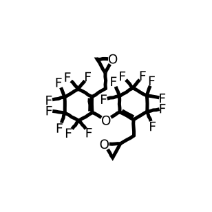 FC1(F)C(CC2CO2)=C(OC2=C(CC3CO3)C(F)(F)C(F)(F)C(F)(F)C2(F)F)C(F)(F)C(F)(F)C1(F)F